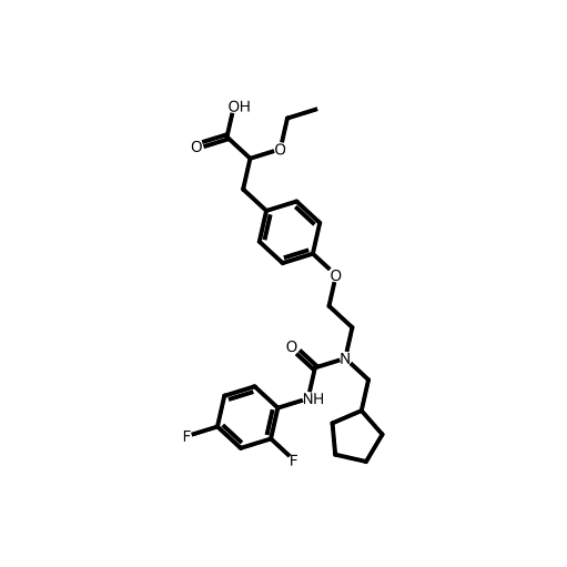 CCOC(Cc1ccc(OCCN(CC2CCCC2)C(=O)Nc2ccc(F)cc2F)cc1)C(=O)O